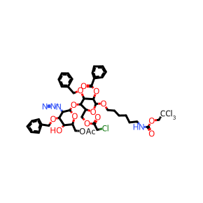 CC(=O)OCC1OC(OC2C(COC(=O)CCl)OC(OCCCCCCNC(=O)OCC(Cl)(Cl)Cl)C(OC(=O)c3ccccc3)C2OCc2ccccc2)C(N=[N+]=[N-])C(OCc2ccccc2)C1O